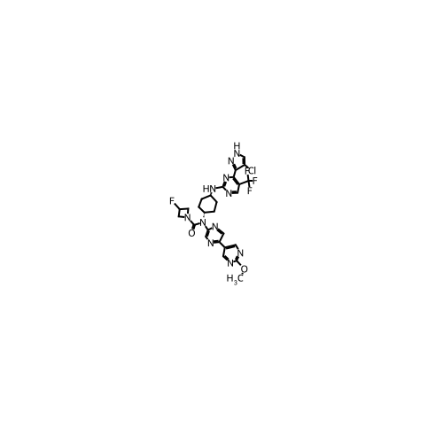 COc1ncc(-c2cnc(N(C(=O)N3CC(F)C3)[C@H]3CC[C@H](Nc4ncc(C(F)(F)F)c(-c5n[nH]cc5Cl)n4)CC3)cn2)cn1